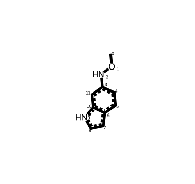 CONc1ccc2cc[nH]c2c1